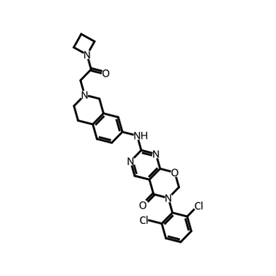 O=C(CN1CCc2ccc(Nc3ncc4c(n3)OCN(c3c(Cl)cccc3Cl)C4=O)cc2C1)N1CCC1